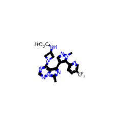 Cc1nc(-c2cnn(C)c2-c2ccc(C(F)(F)F)cn2)c2c(N3CC(NC(=O)O)C3)ncnn12